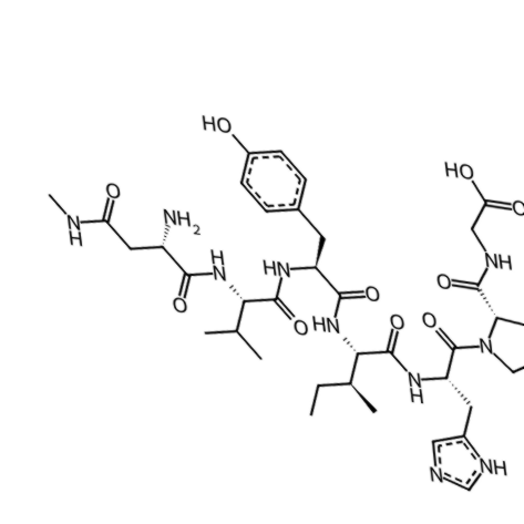 CC[C@H](C)[C@H](NC(=O)[C@H](Cc1ccc(O)cc1)NC(=O)[C@@H](NC(=O)[C@@H](N)CC(=O)NC)C(C)C)C(=O)N[C@@H](Cc1cnc[nH]1)C(=O)N1CCC[C@H]1C(=O)NCC(=O)O